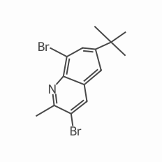 Cc1nc2c(Br)cc(C(C)(C)C)cc2cc1Br